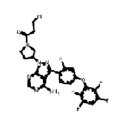 Nc1ncnc2c1c(-c1ccc(Oc3c(F)c(F)cc(F)c3F)cc1F)nn2C1CCN(C(=O)CCCl)C1